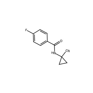 N#CC1(NC(=O)c2ccc(F)cc2)CC1